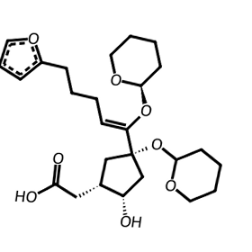 O=C(O)C[C@@H]1C[C@@](OC2CCCCO2)(C(=CCCCc2ccco2)O[C@@H]2CCCCO2)C[C@@H]1O